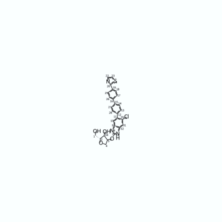 OC[C@H]1OCC(Oc2nc3cc(-c4ccc(-c5ccc(-c6nccs6)cc5)cc4)c(Cl)cc3[nH]2)[C@@H]1O